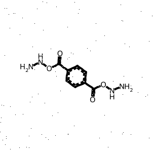 NNOC(=O)c1ccc(C(=O)ONN)cc1